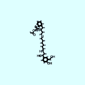 CC(=O)ONS(=O)(=O)c1ccccc1CCCCOCCCCCCNC[C@@H](O)c1ccc(O)c(CO)c1